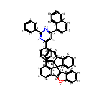 c1ccc(-c2nc(-c3ccc(-c4cccc5c4C4(c6ccccc6-c6ccccc64)c4c-5oc5ccccc45)cc3)cc(-c3cccc4ccccc34)n2)cc1